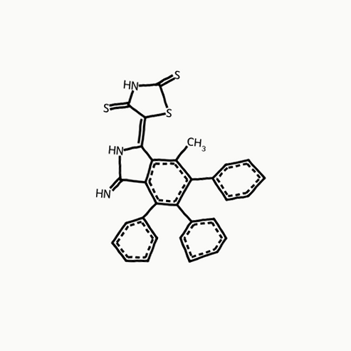 Cc1c2c(c(-c3ccccc3)c(-c3ccccc3)c1-c1ccccc1)C(=N)N/C2=C1/SC(=S)NC1=S